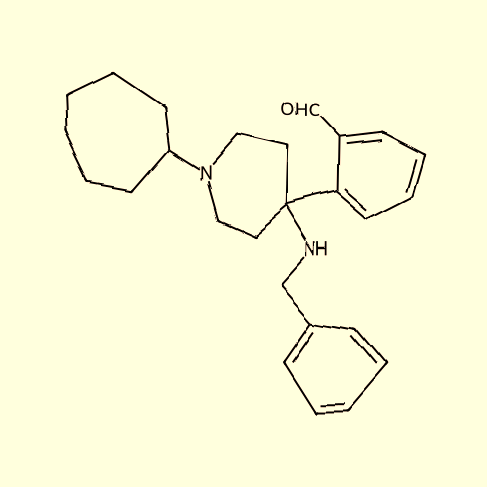 O=Cc1ccccc1C1(NCc2ccccc2)CCN(C2CCCCCC2)CC1